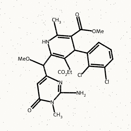 CCOC(=O)C1=C(C(OC)c2cc(=O)n(C)c(N)n2)NC(C)=C(C(=O)OC)C1c1cccc(Cl)c1Cl